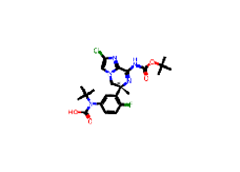 CC(C)(C)OC(=O)NC1=N[C@](C)(c2cc(N(C(=O)O)C(C)(C)C)ccc2F)Cn2cc(Cl)nc21